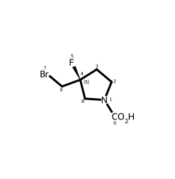 O=C(O)N1CC[C@@](F)(CBr)C1